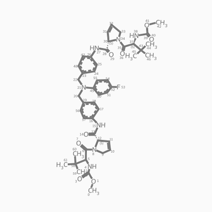 COC(=O)NC(C(=O)N1CC=C[C@H]1C(=O)Nc1ccc(CN(Cc2ccc(NC(=O)[C@@H]3C=CCN3C(=O)[C@@H](NC(=O)OC)C(C)(C)C)cc2)c2ccc(F)cc2)cc1)C(C)(C)C